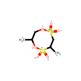 CC1COS(=O)(=O)CC(C)S(=O)(=O)O1